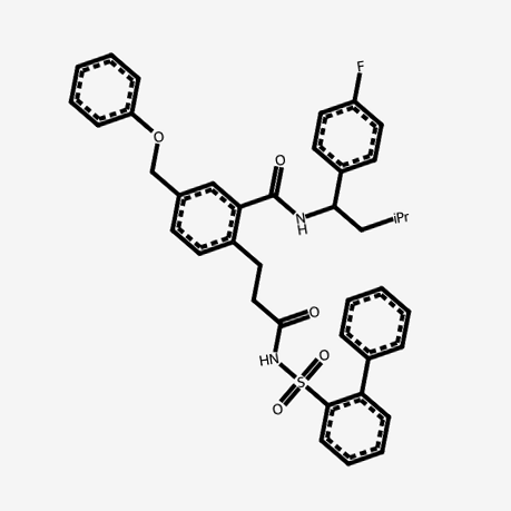 CC(C)CC(NC(=O)c1cc(COc2ccccc2)ccc1CCC(=O)NS(=O)(=O)c1ccccc1-c1ccccc1)c1ccc(F)cc1